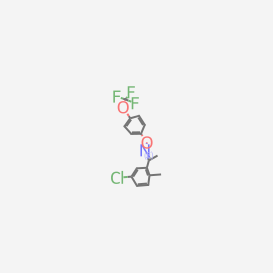 C/C(=N\Oc1ccc(OC(F)(F)F)cc1)c1cc(Cl)ccc1C